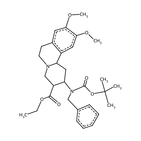 CCOC(=O)C1CN2CCc3cc(OC)c(OC)cc3C2CC1N(Cc1ccccc1)C(=O)OC(C)(C)C